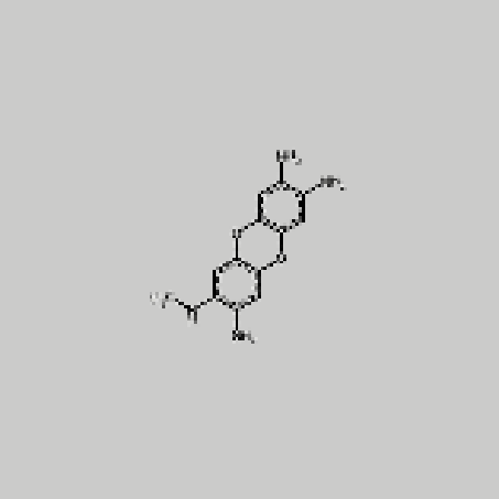 CNc1cc2c(cc1N)Oc1cc(N)c(N)cc1O2